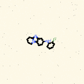 Clc1ccccc1Nc1ccc2c(c1)nc1ccccn12